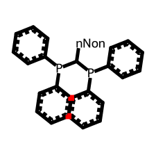 CCCCCCCCCC(P(c1ccccc1)c1ccccc1)P(c1ccccc1)c1ccccc1